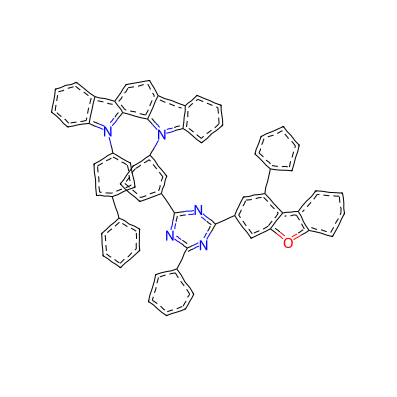 c1ccc(-c2ccc(-n3c4ccccc4c4ccc5c6ccccc6n(-c6cccc(-c7nc(-c8ccccc8)nc(-c8cc(-c9ccccc9)c9c(c8)oc8ccccc89)n7)c6)c5c43)cc2)cc1